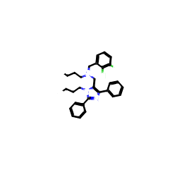 CCCCN(Cc1cccc(Cl)c1Cl)Cc1c(-c2ccccc2)nc(-c2ccccc2)n1CCCC